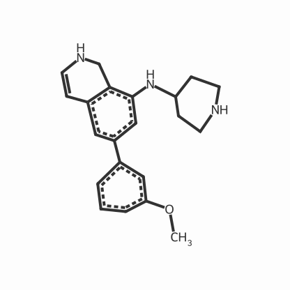 COc1cccc(-c2cc3c(c(NC4CCNCC4)c2)CNC=C3)c1